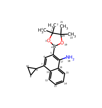 CC1(C)OB(c2cc(C3CC3)c3ccccc3c2N)OC1(C)C